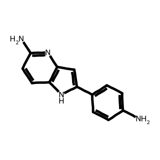 Nc1ccc(-c2cc3nc(N)ccc3[nH]2)cc1